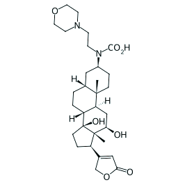 C[C@]12CC[C@H](N(CCN3CCOCC3)C(=O)O)C[C@H]1CC[C@@H]1[C@@H]2C[C@@H](O)[C@]2(C)[C@@H](C3=CC(=O)OC3)CC[C@]12O